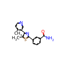 Cc1ccncc1-c1nc(-c2cccc(C(N)=O)c2)sc1C